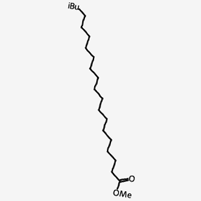 CCC(C)CCCCCCCCCCCCCCCCC(=O)OC